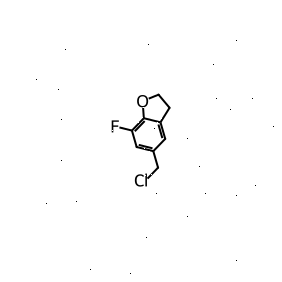 Fc1cc(CCl)cc2c1OCC2